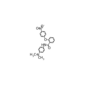 CN(C)c1ccc(NC(=O)c2ccccc2Oc2ccc([N+](=O)[O-])cc2)cc1